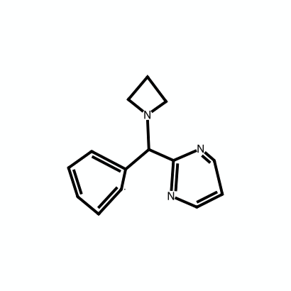 [c]1ccccc1C(c1ncccn1)N1CCC1